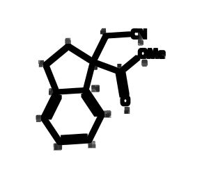 COC(=O)C1(CC#N)CCc2ccccc21